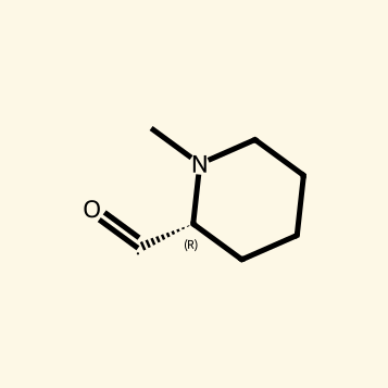 CN1CCCC[C@@H]1[C]=O